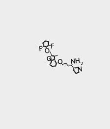 Cc1c(COc2c(F)cccc2F)oc2cccc(OCCCC(N)c3cccnc3)c12